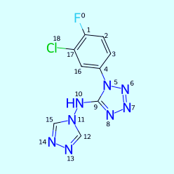 Fc1ccc(-n2nnnc2Nn2cnnc2)cc1Cl